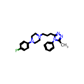 Cc1nnc(CCCN2CCN(c3ccc(F)cc3)CC2)n1-c1ccccc1